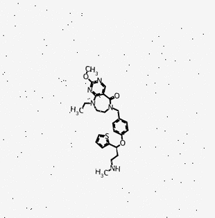 CCN1CCN(Cc2ccc(O[C@@H](CCNC)c3cccs3)cc2)C(=O)c2cnc(OC)nc21